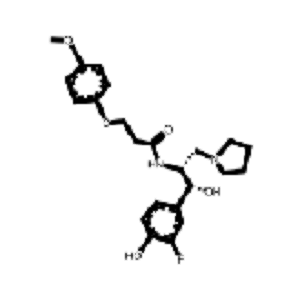 COc1ccc(OCCC(=O)N[C@H](CN2CCCC2)[C@H](O)c2ccc(O)c(F)c2)cc1